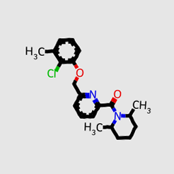 Cc1cccc(OCc2cccc(C(=O)N3C(C)CCCC3C)n2)c1Cl